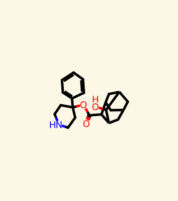 O=C(OC1(c2ccccc2)CCNCC1)C1C2CC3CC(C2)C(O)C1C3